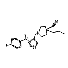 CCCC1(C#N)CCN(Cc2cncn2[C@H](C)c2ccc(F)cc2)CC1